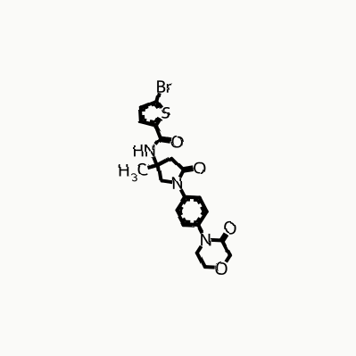 CC1(NC(=O)c2ccc(Br)s2)CC(=O)N(c2ccc(N3CCOCC3=O)cc2)C1